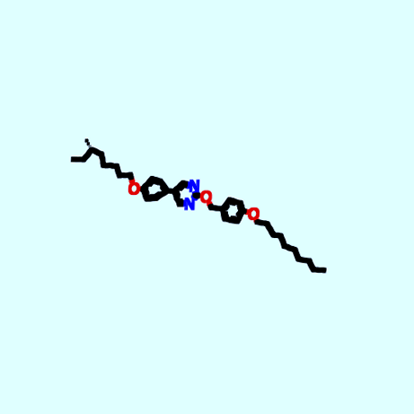 CCCCCCCCCCOc1ccc(COc2ncc(-c3ccc(OCCCCC[C@@H](C)CC)cc3)cn2)cc1